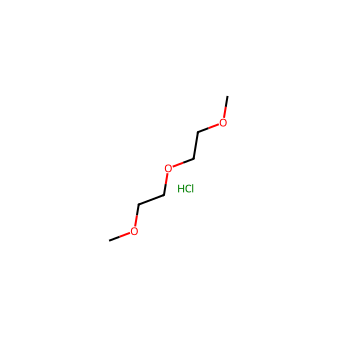 COCCOCCOC.Cl